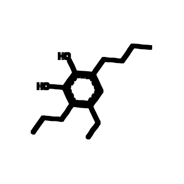 CCCCc1cc(CC)c(CCC)c(O)c1O